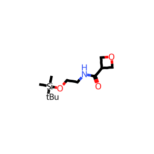 CC(C)(C)[Si](C)(C)OCCNC(=O)C1COC1